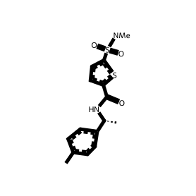 CNS(=O)(=O)c1ccc(C(=O)N[C@H](C)c2ccc(C)cc2)s1